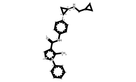 Cc1c(C(=O)Nc2ccc([C@@H]3C[C@H]3NCC3CC3)cc2)cnn1-c1ccccc1